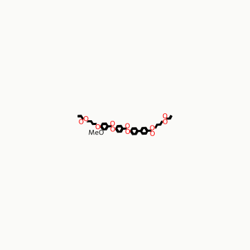 C=CC(=O)OCCCCOC(=O)c1ccc(-c2ccc(OC(=O)c3ccc(OC(=O)c4ccc(OCCCCOC(=O)C=C)c(OC)c4)cc3)cc2)cc1